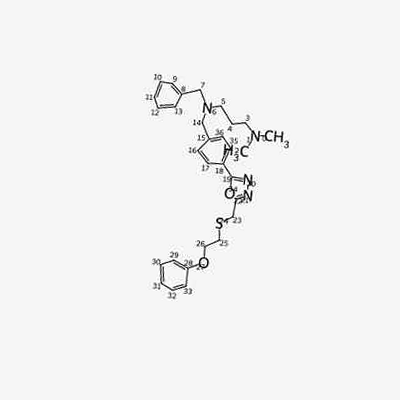 CN(C)CCCN(Cc1ccccc1)Cc1ccc(-c2nnc(CSCCOc3ccccc3)o2)cc1